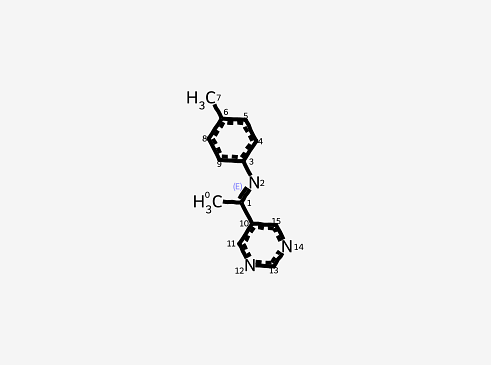 C/C(=N\c1ccc(C)cc1)c1cncnc1